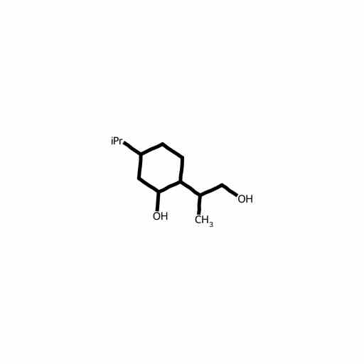 CC(C)C1CCC(C(C)CO)C(O)C1